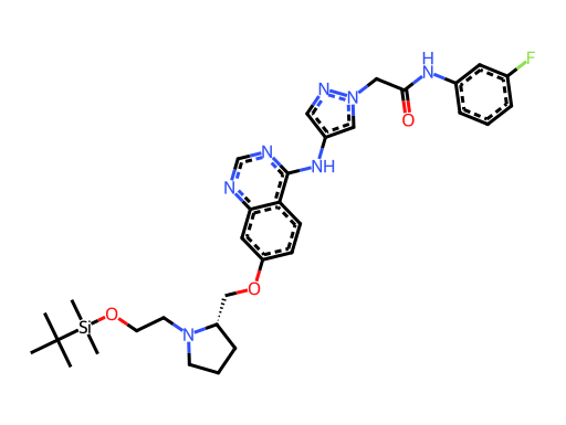 CC(C)(C)[Si](C)(C)OCCN1CCC[C@H]1COc1ccc2c(Nc3cnn(CC(=O)Nc4cccc(F)c4)c3)ncnc2c1